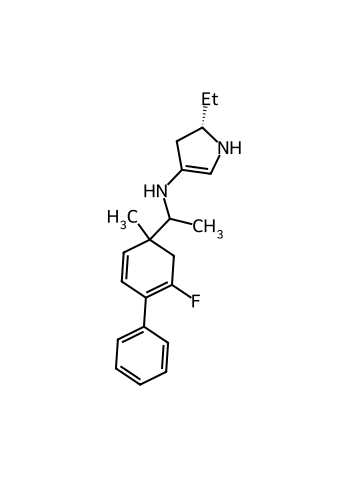 CC[C@H]1CC(NC(C)C2(C)C=CC(c3ccccc3)=C(F)C2)=CN1